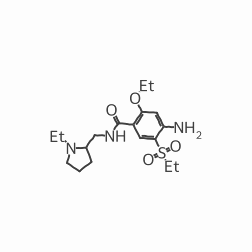 CCOc1cc(N)c(S(=O)(=O)CC)cc1C(=O)NCC1CCCN1CC